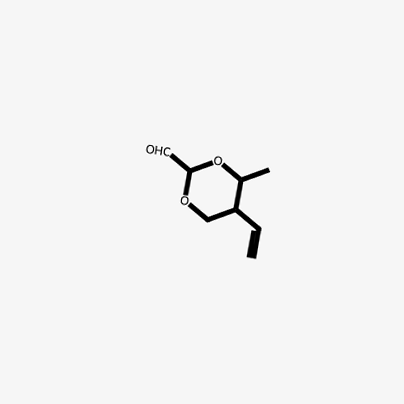 C=CC1COC(C=O)OC1C